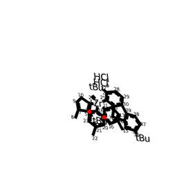 Cl.Cl.[CH2]=[Zr]([C]1=C(C(C)(C)C)C(C)=CC1)([c]1ccc(C)cc1)([c]1ccc(C)cc1)[c]1c(C(C)(C)C)ccc2c1Cc1cc(C(C)(C)C)ccc1-2